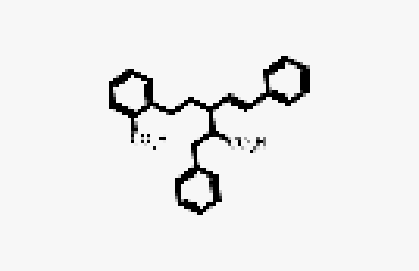 O=C(O)c1ccccc1CCC(C=Cc1ccccc1)C(Cc1ccccc1)C(=O)O